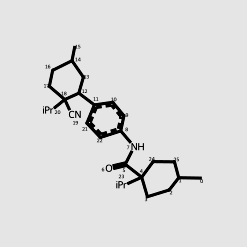 CC1CCC(C(=O)Nc2ccc(C3CC(C)CCC3(C#N)C(C)C)cc2)(C(C)C)CC1